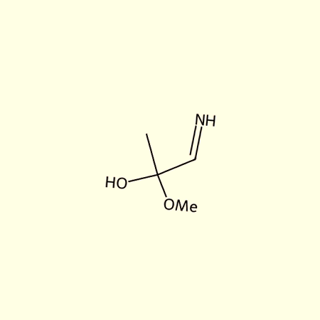 COC(C)(O)C=N